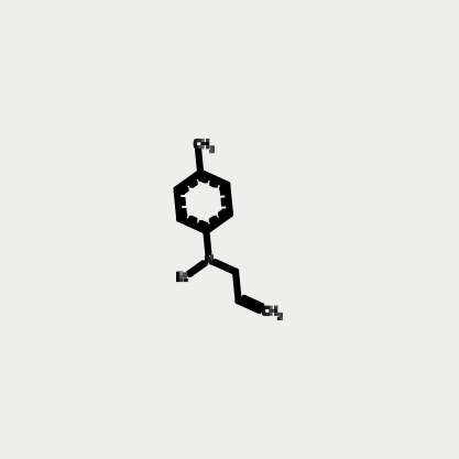 C=CCN(CC)c1ccc(C)cc1